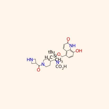 CC(C)(C)[Si](C)(C)O[C@@H](CN(CC1CCN(C(=O)C2CNC2)CC1)C(=O)O)c1ccc(O)c2[nH]c(=O)ccc12